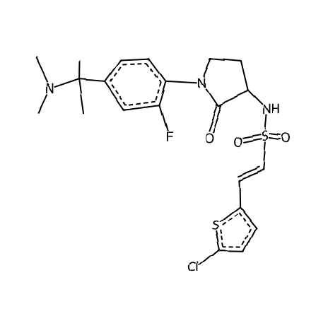 CN(C)C(C)(C)c1ccc(N2CCC(NS(=O)(=O)C=Cc3ccc(Cl)s3)C2=O)c(F)c1